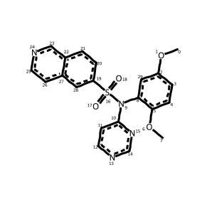 COc1ccc(OC)c(N(c2ccncn2)S(=O)(=O)c2ccc3cnccc3c2)c1